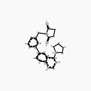 O=C1CCC(=O)N1Cc1cccc(-c2ccc3ncnc(N4CCCC4)c3c2)c1